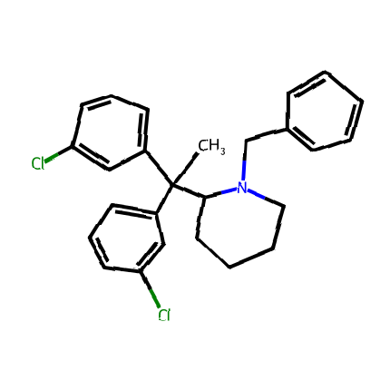 CC(c1cccc(Cl)c1)(c1cccc(Cl)c1)C1CCCCN1Cc1ccccc1